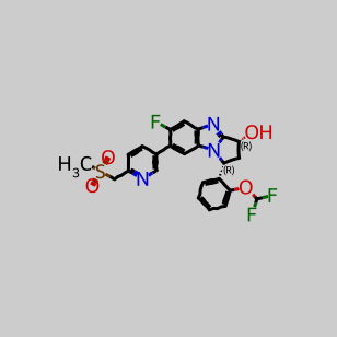 CS(=O)(=O)Cc1ccc(-c2cc3c(cc2F)nc2n3[C@@H](c3ccccc3OC(F)F)C[C@H]2O)cn1